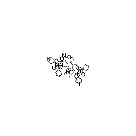 CCN(CC)C(=O)C1=C(C(=O)C2=C(C(=O)N(CC)CC)C(OC)(c3cc4cnccc4n3S(=O)(=O)c3ccccc3)NC=C2)C=CNC1(OC)c1cc2cnccc2n1S(=O)(=O)c1ccccc1